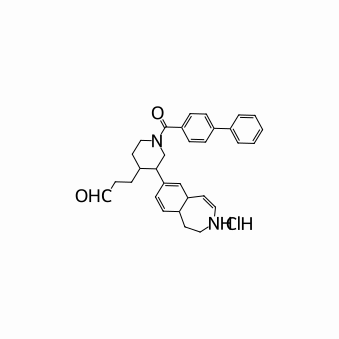 Cl.O=CCCC1CCN(C(=O)c2ccc(-c3ccccc3)cc2)CC1C1=CC2C=CNCCC2C=C1